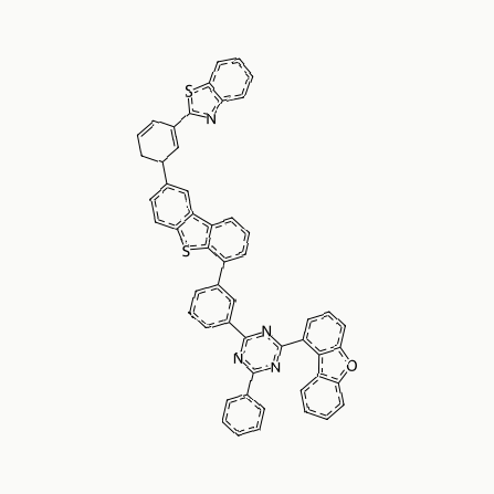 C1=CC(c2nc3ccccc3s2)=CC(c2ccc3sc4c(-c5cccc(-c6nc(-c7ccccc7)nc(-c7cccc8oc9ccccc9c78)n6)c5)cccc4c3c2)C1